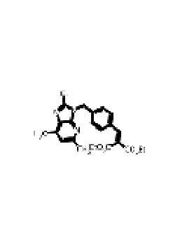 CCOC(=O)C(=Cc1ccc(Cn2c(CC)nc3c(C)cc(C)nc32)cc1)C(=O)OCC